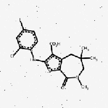 CN1CC(C)(C)Cc2c(sc(Nc3ccc(I)cc3Cl)c2C(=O)O)C1=O